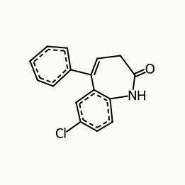 O=C1CC=C(c2ccccc2)c2cc(Cl)ccc2N1